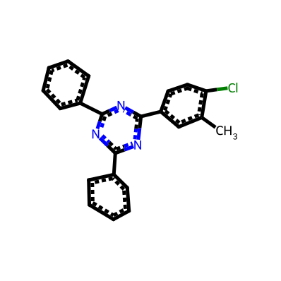 Cc1cc(-c2nc(-c3ccccc3)nc(-c3ccccc3)n2)ccc1Cl